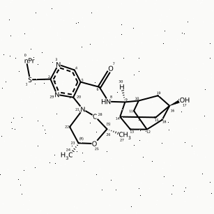 CCCSc1ncc(C(=O)N[C@H]2C3CC4CC2C[C@@](O)(C4)C3)c(N2C[C@@H](C)O[C@@H](C)C2)n1